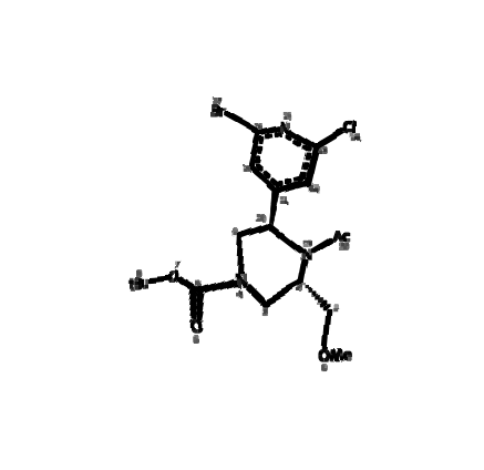 COC[C@@H]1CN(C(=O)OC(C)(C)C)C[C@@H](c2cc(Cl)nc(Br)c2)N1C(C)=O